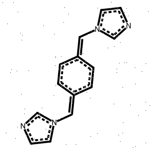 C(=c1ccc(=Cn2ccnc2)cc1)n1ccnc1